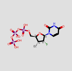 CC[C@H]1[C@@H](F)[C@H](n2ccc(=O)[nH]c2=O)O[C@@H]1COP(=O)(O)OP(=O)(O)OP(=O)(O)O